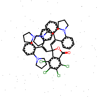 O=C1OC(C=C(c2ccccc2N2CCCC2)c2ccccc2N2CCCC2)(C=C(c2ccccc2N2CCCC2)c2ccccc2N2CCCC2)c2c(Cl)c(Cl)c(Cl)c(Cl)c21